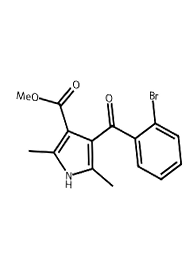 COC(=O)c1c(C)[nH]c(C)c1C(=O)c1ccccc1Br